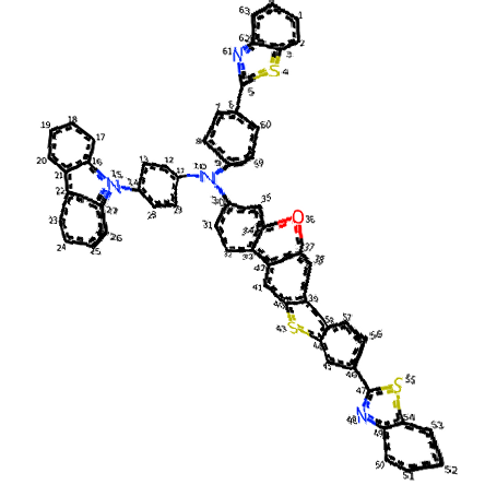 c1ccc2sc(-c3ccc(N(c4ccc(-n5c6ccccc6c6ccccc65)cc4)c4ccc5c(c4)oc4cc6c(cc45)sc4cc(-c5nc7ccccc7s5)ccc46)cc3)nc2c1